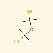 C[Si](C)(S)O[Si](C)(C)S